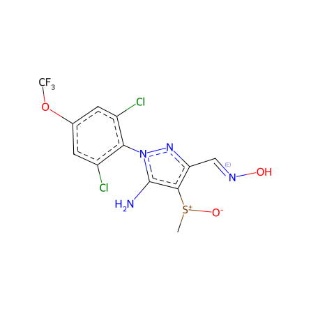 C[S+]([O-])c1c(/C=N/O)nn(-c2c(Cl)cc(OC(F)(F)F)cc2Cl)c1N